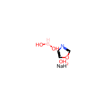 O.OBO.[NaH].c1cocn1